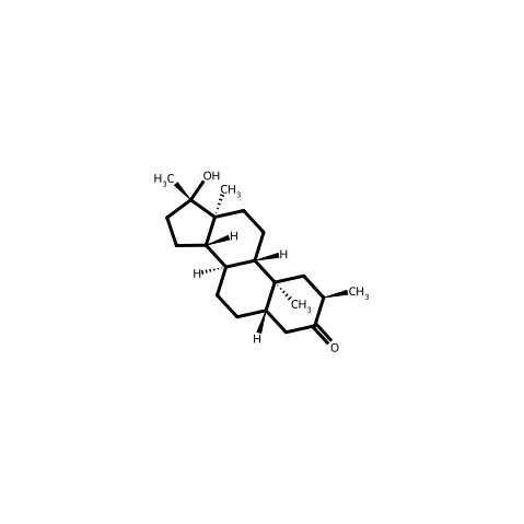 C[C@@H]1C[C@@]2(C)[C@@H](CC[C@@H]3[C@@H]2CC[C@@]2(C)[C@H]3CC[C@]2(C)O)CC1=O